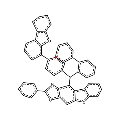 c1ccc(-c2nc3c(N(c4ccc(-c5cccc6c5oc5ccccc56)cc4)c4ccccc4-c4ccccc4)c4c(cc3o2)oc2ccccc24)cc1